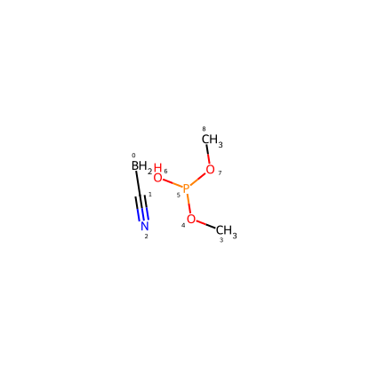 BC#N.COP(O)OC